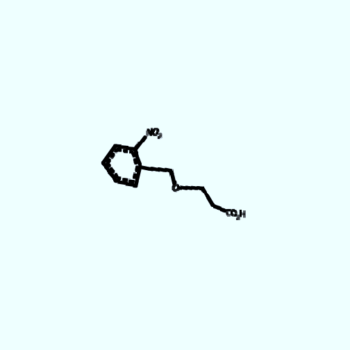 O=C(O)CCOCc1ccccc1[N+](=O)[O-]